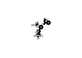 Cc1cc(COc2ccc(C3CC(C4(C)NC(=O)NC4=O)=NO3)cc2)c2ccccc2n1.O=C(O)C(F)(F)F